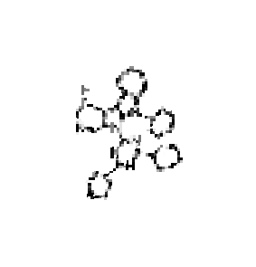 C1=NCNc2c1n(-c1nc(-c3ccccc3)nc(-c3ccccc3)n1)c1c2c2ccccc2n1-c1ccccc1